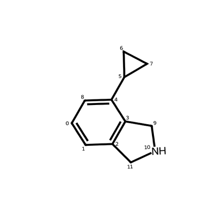 c1cc2c(c(C3CC3)c1)CNC2